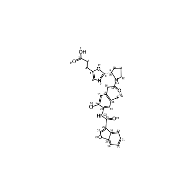 O=C(O)CCc1cnc([C@@H]2CCCN2C(=O)Cc2cc(Cl)c(NC(=O)c3coc4ccccc34)cc2F)o1